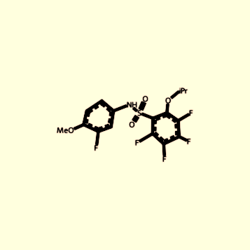 COc1ccc(NS(=O)(=O)c2c(F)c(F)c(F)c(F)c2OC(C)C)cc1F